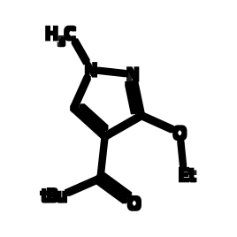 CCOc1nn(C)cc1C(=O)C(C)(C)C